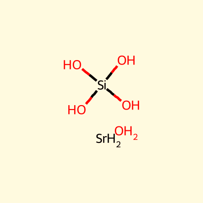 O.O[Si](O)(O)O.[SrH2]